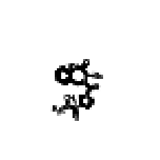 CC[C@H](C)[C@H]1C(=O)Nc2ccccc2CN1C(=O)N1CC[C@H](C(=O)N(C)C)C1